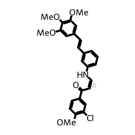 COc1ccc(C(=O)/C=C\Nc2cccc(C=Cc3cc(OC)c(OC)c(OC)c3)c2)cc1Cl